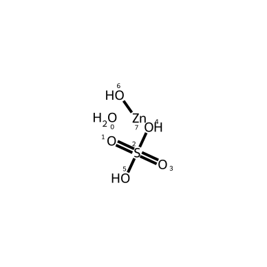 O.O=S(=O)(O)O.[OH][Zn]